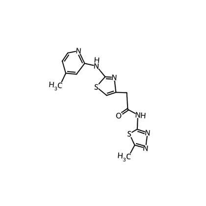 Cc1ccnc(Nc2nc(CC(=O)Nc3nnc(C)s3)cs2)c1